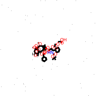 CO[C@H]1C(=O)C2(C)[C@@H](OC)C[C@H]3OC[C@@]3(OC(C)=O)[C@H]2[C@H](OC(=O)c2ccccc2)[C@]2(O)C[C@H](OC(=O)[C@H](OC(=O)COCC(=O)O)[C@@H](NC(=O)OC(C)(C)C)c3ccccc3)C(C)=C1C2(C)C